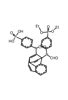 CCOP(=O)(OCC)c1ccc(N(C=O)C23C=CC4C(=C2N(C=O)c2ccc(P(=O)(O)O)cc2)C=Cc2cccc3c24)cc1